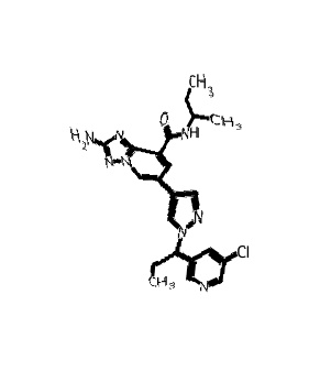 CCC(C)NC(=O)c1cc(-c2cnn(C(CC)c3cncc(Cl)c3)c2)cn2nc(N)nc12